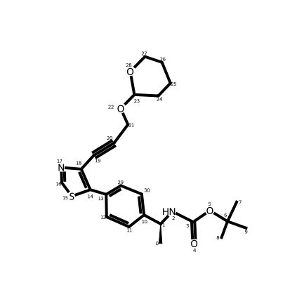 C[C@H](NC(=O)OC(C)(C)C)c1ccc(-c2scnc2C#CCOC2CCCCO2)cc1